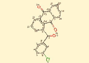 O=C(c1cccc(Cl)c1)c1cccc2c1C(=O)c1ccccc1C2=O